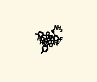 Cc1ccc(C(=O)C(O)(C(=O)O)C(O)(C(=O)O)C(=O)c2ccc(C)cc2)cc1.N[C@@H]1C[C@H]1c1ccc(F)c(F)c1